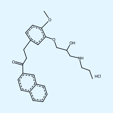 CCCNCC(O)COc1cc(CCC(=O)c2ccc3ccccc3c2)ccc1OC.Cl